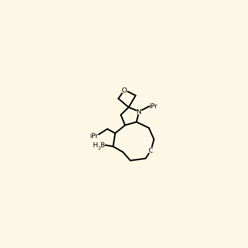 BC1CCCCCCC2C(CC3(COC3)N2C(C)C)C1CC(C)C